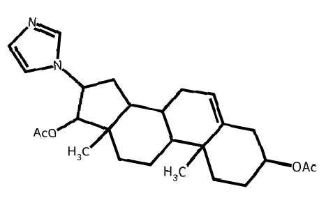 CC(=O)OC1CCC2(C)C(=CCC3C2CCC2(C)C3CC(n3ccnc3)C2OC(C)=O)C1